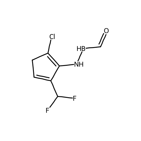 O=CBNC1=C(Cl)CC=C1C(F)F